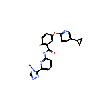 CC(C)n1cnnc1-c1cccc(NC(=O)c2cc(Oc3ccc(C4CC4)cn3)ccc2F)n1